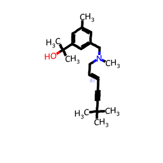 Cc1cc(CN(C)C/C=C/C#CC(C)(C)C)cc(C(C)(C)O)c1